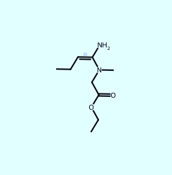 CC/C=C(/N)N(C)CC(=O)OCC